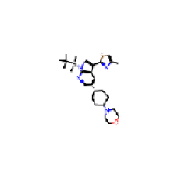 Cc1csc(-c2cn([Si](C)(C)C(C)(C)C)c3ncc([C@H]4CC[C@H](N5CCOCC5)CC4)cc23)n1